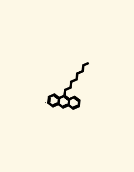 CCCCCCCCc1c2cc[c]cc2cc2ccccc12